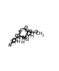 COCNc1ccc2c(c1)NC(=O)CC/C=C/C[C@H](NC(=O)c1ccc(C#N)cc1)c1nc-2c(Cl)[nH]1